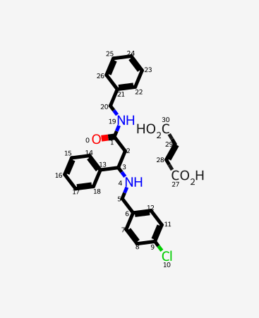 O=C(CC(NCc1ccc(Cl)cc1)c1ccccc1)NCc1ccccc1.O=C(O)C=CC(=O)O